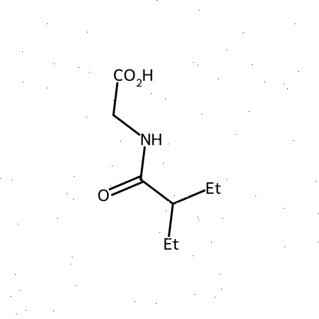 CCC(CC)C(=O)NCC(=O)O